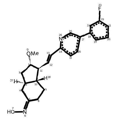 CO[C@H]1C[C@@H]2C/C(=N\O)CC[C@H]2[C@@H]1/C=C/c1ccc(-c2cccc(F)c2)cn1